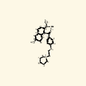 O=C(c1ccc(OCCN2CCCCC2)cc1)c1c(B(O)O)ccc2cc(O)ccc12